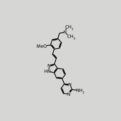 COc1cc(CN(C)C)ccc1C=Cc1n[nH]c2cc(-c3ccnc(N)n3)ccc12